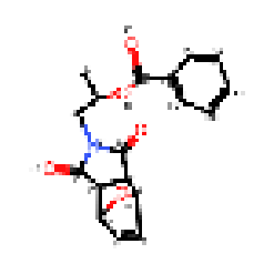 CC(CN1C(=O)C2C3C=CC(O3)C2C1=O)OC(=O)c1ccccc1